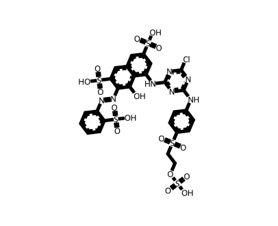 O=S(=O)(O)OCCS(=O)(=O)c1ccc(Nc2nc(Cl)nc(Nc3cc(S(=O)(=O)O)cc4cc(S(=O)(=O)O)c(/N=N/c5ccccc5S(=O)(=O)O)c(O)c34)n2)cc1